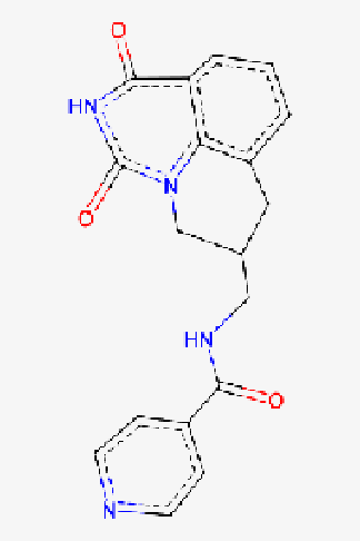 O=C(NCC1Cc2cccc3c(=O)[nH]c(=O)n(c23)C1)c1ccncc1